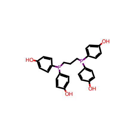 Oc1ccc(P(CCCP(c2ccc(O)cc2)c2ccc(O)cc2)c2ccc(O)cc2)cc1